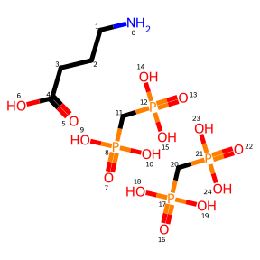 NCCCC(=O)O.O=P(O)(O)CP(=O)(O)O.O=P(O)(O)CP(=O)(O)O